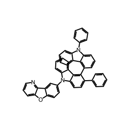 c1ccc(-c2ccc3c(c2-c2cccc4c2c2ccccc2n4-c2ccccc2)c2ccccc2n3-c2ccc3oc4cccnc4c3c2)cc1